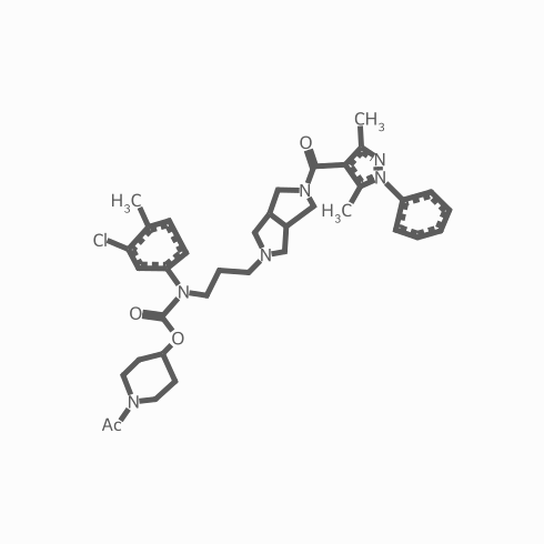 CC(=O)N1CCC(OC(=O)N(CCCN2CC3CN(C(=O)c4c(C)nn(-c5ccccc5)c4C)CC3C2)c2ccc(C)c(Cl)c2)CC1